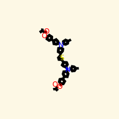 C=C(C)C(=O)Oc1ccc(-c2ccc(N(c3ccc(C)cc3)c3ccc(-c4ccc(-c5ccc(N(c6ccc(C)cc6)c6ccc(-c7ccc(OC(=O)C(=C)C)cc7)cc6)cc5)s4)cc3)cc2)cc1